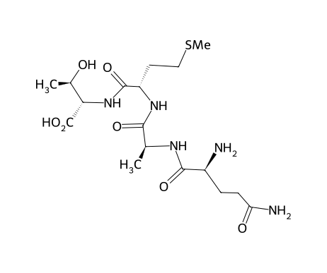 CSCC[C@H](NC(=O)[C@H](C)NC(=O)[C@@H](N)CCC(N)=O)C(=O)N[C@H](C(=O)O)[C@@H](C)O